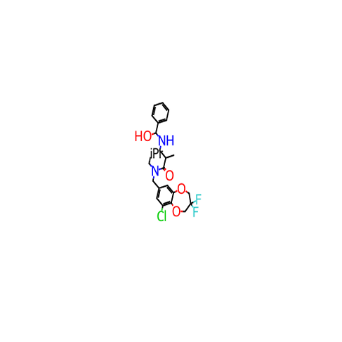 CC(C)CN(Cc1cc(Cl)c2c(c1)OCC(F)(F)CO2)C(=O)C(C)CNC(O)c1ccccc1